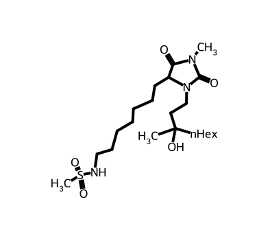 CCCCCCC(C)(O)CCN1C(=O)N(C)C(=O)C1CCCCCCCNS(C)(=O)=O